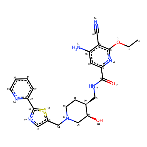 CCOc1nc(C(=O)NC[C@@H]2CCN(Cc3cnc(-c4ccccn4)s3)C[C@@H]2O)cc(N)c1C#N